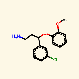 CCOc1ccccc1OC(CCN)c1cccc(Cl)c1